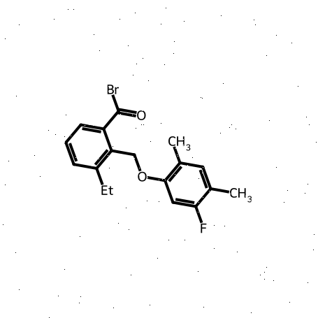 CCc1cccc(C(=O)Br)c1COc1cc(F)c(C)cc1C